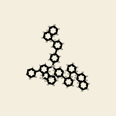 c1ccc(-c2ccc(N(c3ccc(-c4cccc(-c5cccc6ccccc56)c4)cc3)c3ccc(-c4ccccc4-c4ccccc4-c4ccc5ccccc5c4)cc3)c3c2sc2ccccc23)cc1